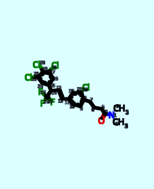 CN(C)C(=O)CCCc1ccc(/C=C/C(c2cc(Cl)c(Cl)c(Cl)c2)C(F)(F)F)cc1Cl